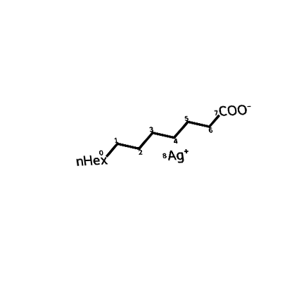 CCCCCCCCCCCCC(=O)[O-].[Ag+]